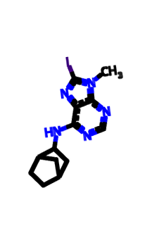 Cn1c(I)nc2c(NC3CC4CCC3C4)ncnc21